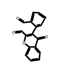 O=Cc1ccccc1-c1c(C=O)oc2ccccc2c1=O